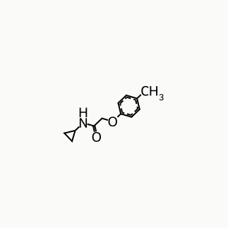 Cc1ccc(OCC(=O)NC2CC2)cc1